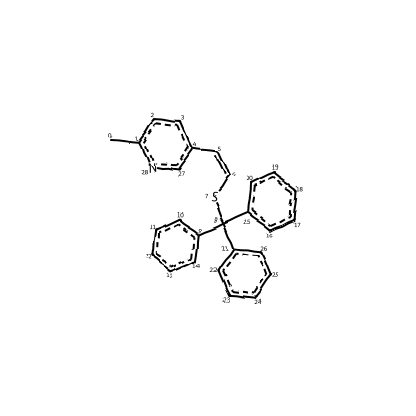 Cc1ccc(/C=C\SC(c2ccccc2)(c2ccccc2)c2ccccc2)cn1